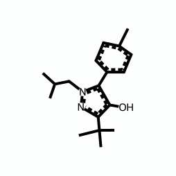 Cc1ccc(-c2c(O)c(C(C)(C)C)nn2CC(C)C)cc1